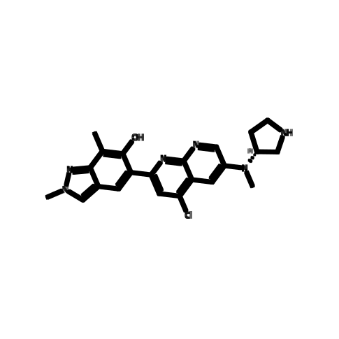 Cc1c(O)c(-c2cc(Cl)c3cc(N(C)[C@@H]4CCNC4)cnc3n2)cc2cn(C)nc12